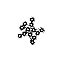 c1ccc(-c2ccc(N3c4ccc(-c5cccc6c5sc5ccccc56)cc4B4c5cc(-c6cccc7c6sc6ccccc67)ccc5N(c5ccc(-c6ccccc6)cc5)c5cc(-n6c7ccccc7c7ccccc76)cc3c54)cc2)cc1